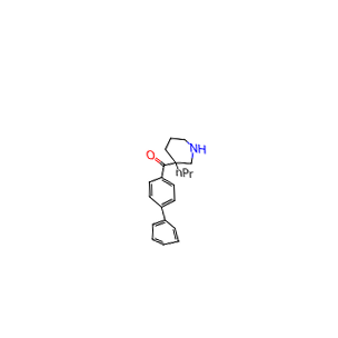 CCCC1(C(=O)c2ccc(-c3ccccc3)cc2)CCCNC1